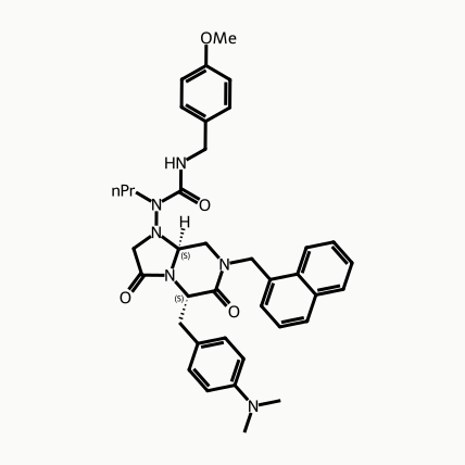 CCCN(C(=O)NCc1ccc(OC)cc1)N1CC(=O)N2[C@@H](Cc3ccc(N(C)C)cc3)C(=O)N(Cc3cccc4ccccc34)C[C@@H]21